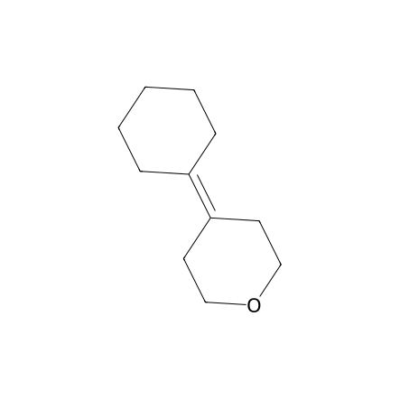 C1CCC(=C2CCOCC2)CC1